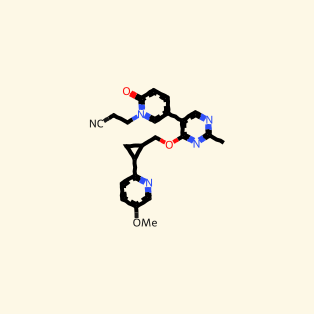 COc1ccc(C2CC2COc2nc(C)ncc2-c2ccc(=O)n(CCC#N)c2)nc1